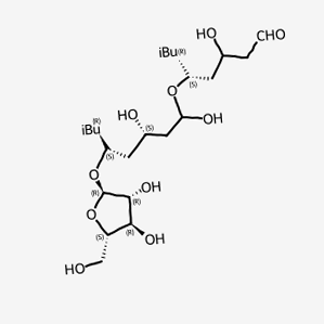 CC[C@@H](C)[C@H](CC(O)CC=O)OC(O)C[C@@H](O)C[C@H](O[C@@H]1O[C@@H](CO)[C@H](O)[C@H]1O)[C@H](C)CC